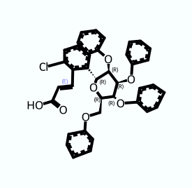 O=C(O)/C=C/c1c(Cl)cccc1[C@H]1O[C@H](COc2ccccc2)[C@@H](Oc2ccccc2)[C@H](Oc2ccccc2)[C@@H]1Oc1ccccc1